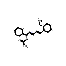 CC(=O)O[C@@H](/C=C/C=C/[C@@H]1CCCC[C@@H]1CO)C1CCCCC1